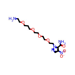 NCCOCCCOCCOCCOCCn1ncc([N+](=O)[O-])c1C(N)=O